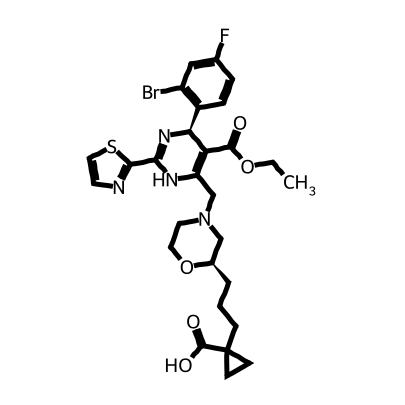 CCOC(=O)C1=C(CN2CCO[C@H](CCCC3(C(=O)O)CC3)C2)NC(c2nccs2)=N[C@H]1c1ccc(F)cc1Br